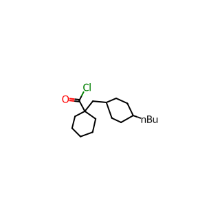 CCCCC1CCC(CC2(C(=O)Cl)CCCCC2)CC1